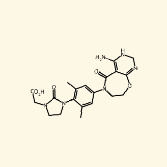 Cc1cc(N2CCOC3=NCNC(N)=C3C2=O)cc(C)c1N1CCN(CC(=O)O)C1=O